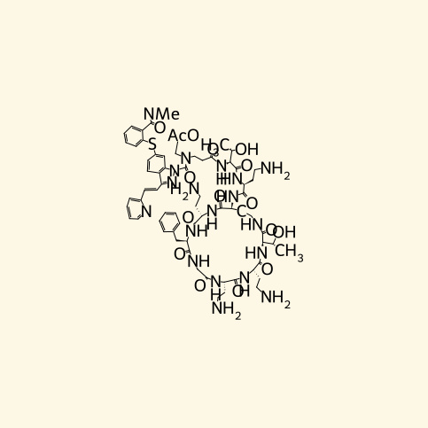 CNC(=O)c1ccccc1Sc1ccc2c(/C=C/c3ccccn3)nn(C(=O)N(CCOC(C)=O)CCC(=O)N[C@H](C(=O)N[C@@H](CCN)C(=O)N[C@H]3CCNC(=O)[C@@H]([C@@H](C)O)NC(=O)[C@H](CCN)NC(=O)[C@H](CCN)NC(=O)CNC(=O)[C@@H](Cc4ccccc4)NC(=O)[C@H](CCN)NC3=O)[C@@H](C)O)c2c1